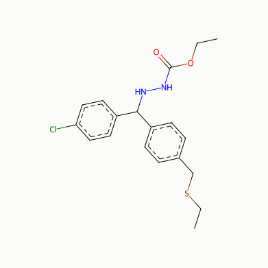 CCOC(=O)NNC(c1ccc(Cl)cc1)c1ccc(CSCC)cc1